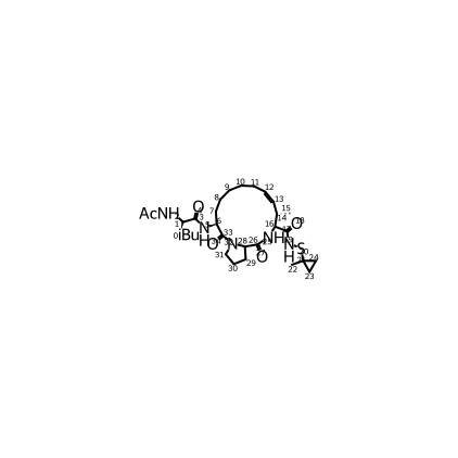 CC[C@H](C)C(NC(C)=O)C(=O)N[C@H]1CCCCC/C=C\[C@H](C)C(C(=O)NSC2(C)CC2)NC(=O)C2CCCN2C1=O